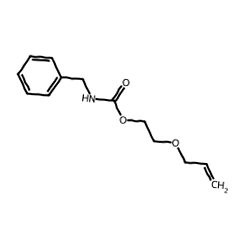 C=CCOCCOC(=O)NCc1ccccc1